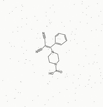 N#CC(C#N)=C(c1ccccc1)N1CCN(C(=O)O)CC1